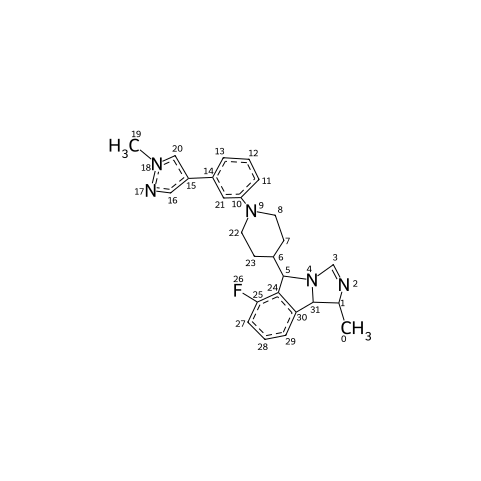 CC1N=CN2C(C3CCN(c4cccc(-c5cnn(C)c5)c4)CC3)c3c(F)cccc3C12